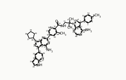 Cc1ccc(-c2nn(C(C)(C)CNC(=O)c3ncc(-c4nc(N)c5c(-c6cnc7[nH]ccc7c6)nn(C6CCCC6)c5n4)cc3C)c3ncnc(N)c23)cc1